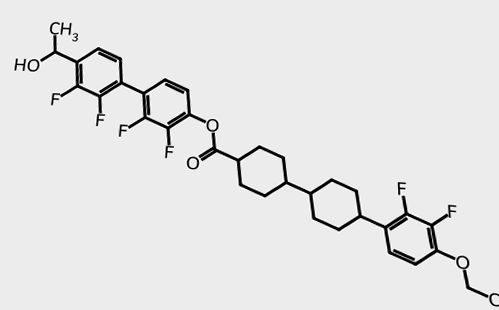 CCOc1ccc(C2CCC(C3CCC(C(=O)Oc4ccc(-c5ccc(C(C)O)c(F)c5F)c(F)c4F)CC3)CC2)c(F)c1F